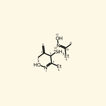 C=C(C)C([SiH3])C(CC)=NO.CCC(C)=NO